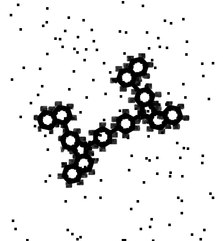 c1ccc2c(-c3ccc4c5c6ccccc6ccc5n(-c5ccc(-c6ccc(-n7c8cc(-c9cccc%10ccccc9%10)ccc8c8c9ccccc9ccc87)cc6)cc5)c4c3)cccc2c1